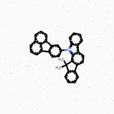 CC1(C)c2ccccc2-c2ccc3c4ccccc4n(-c4ccc5c(c4)-c4cccc6cccc-5c46)c3c21